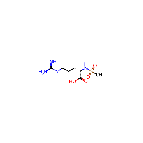 CS(=O)(=O)N[C@@H](CCCNC(=N)N)C(=O)O